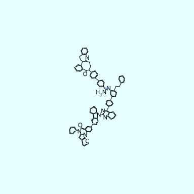 N/C(=N\c1cc(-c2ccc(-c3nc(-n4c5ccccc5c5cc(-c6ccc7c(c6)c(=O)n(-c6ccccc6)c6cc8ccccc8n76)ccc54)nc4ccccc34)cc2)ccc1CCc1ccccc1)c1ccc(-c2ccc(C3CCC4=Nc5ccccc5CCC4c4ccccc4C3=O)cc2)cc1